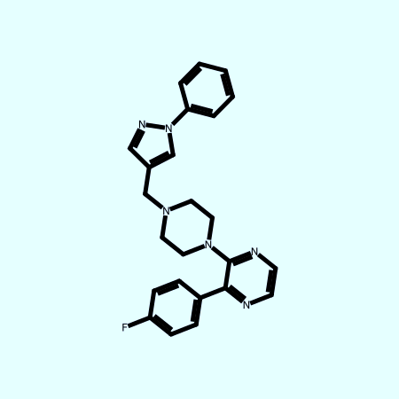 Fc1ccc(-c2nccnc2N2CCN(Cc3cnn(-c4ccccc4)c3)CC2)cc1